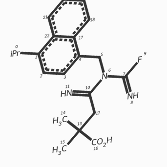 CC(C)c1ccc(CN(C(=N)F)C(=N)CC(C)(C)C(=O)O)c2ccccc12